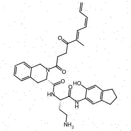 C=C/C=C\C=C(/C)C(=O)CCC(=O)N1Cc2ccccc2C[C@H]1C(=O)N[C@@H](CCN)C(=O)Nc1cc2c(cc1O)CCC2